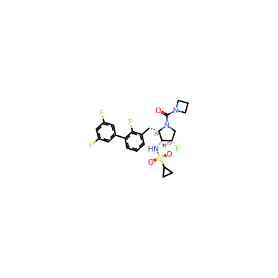 O=C(N1CCC1)N1C[C@H](F)[C@H](NS(=O)(=O)C2CC2)[C@@H]1Cc1cccc(-c2cc(F)cc(F)c2)c1F